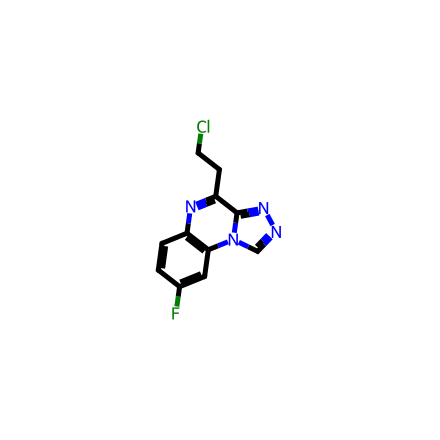 Fc1ccc2nc(CCCl)c3nncn3c2c1